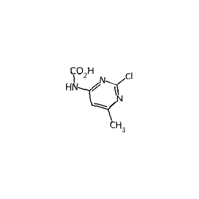 Cc1cc(NC(=O)O)nc(Cl)n1